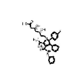 CC(C)c1c(C(=O)NOc2ccccc2)c(-c2ccccc2)c(-c2ccc(F)cc2)n1CC[C@@H](O)C[C@@H](O)CC(=O)O